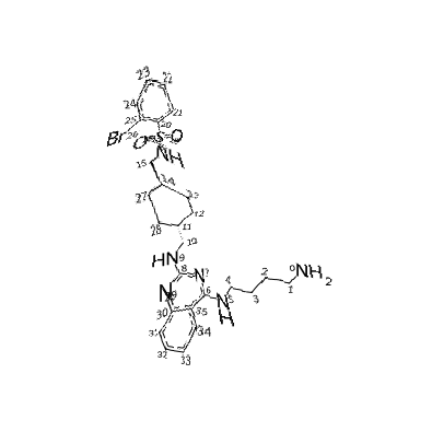 NCCCCNc1nc(NC[C@H]2CC[C@H](CNS(=O)(=O)c3ccccc3Br)CC2)nc2ccccc12